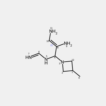 CC1CN(C(NC=N)/C(N)=C/N)C1